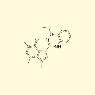 CCOc1ccccc1NC(=O)c1cn(C)c2c(C)cn(C)c(=O)c12